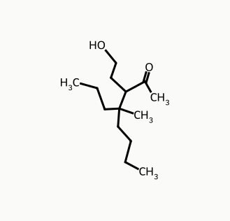 CCCCC(C)(CCC)C(CCO)C(C)=O